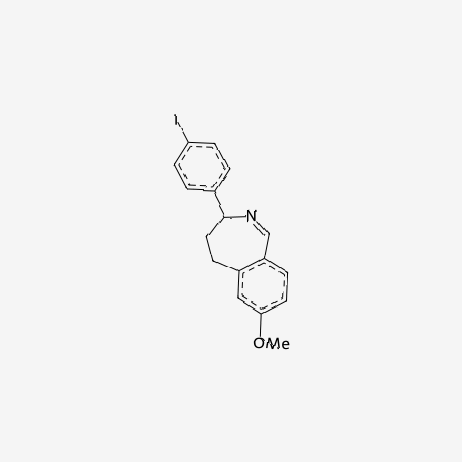 COc1ccc2c(c1)CCC(c1ccc(I)cc1)N=C2